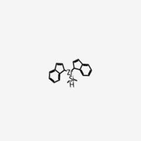 C[SiH](C)[Zr]([CH]1C=Cc2ccccc21)[CH]1C=Cc2ccccc21